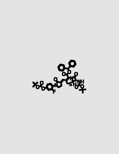 CC(C)(C)OC(=O)N[C@@H]1C(=O)N2C(C(=O)OC(c3ccccc3)c3ccccc3)=C(C=C3CCN(c4ccc(OC(=O)OC(C)(C)C)cc4F)C3=O)CS[C@H]12